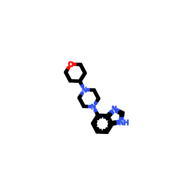 c1cc(N2CCN(C3CCOCC3)CC2)c2nc[nH]c2c1